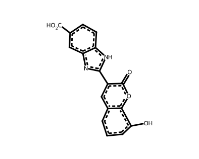 O=C(O)c1ccc2[nH]c(-c3cc4cccc(O)c4oc3=O)nc2c1